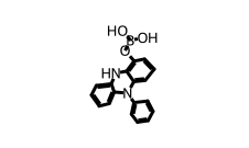 OB(O)Oc1cccc2c1Nc1ccccc1N2c1ccccc1